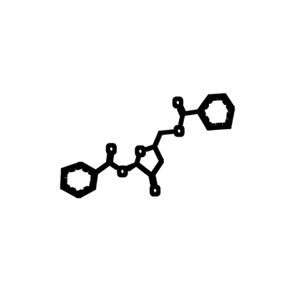 O=C(OCC1CC(=O)[C@@H](OC(=O)c2ccccc2)O1)c1ccccc1